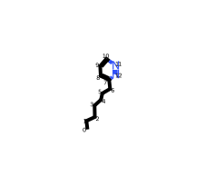 CCCCCCCc1cccnn1